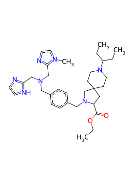 CCOC(=O)C1CC2(CCN(C(CC)CC)CC2)CN1Cc1ccc(CN(Cc2ncc[nH]2)Cc2nccn2C)cc1